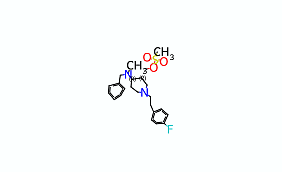 CN(Cc1ccccc1)[C@@H]1CCN(CCc2ccc(F)cc2)C[C@H]1COS(C)(=O)=O